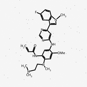 C=CC(=O)Nc1cc(Nc2cc(-c3cn(C)c4ccc(F)cc34)ncn2)c(OC)cc1N(C)CCN(C)C